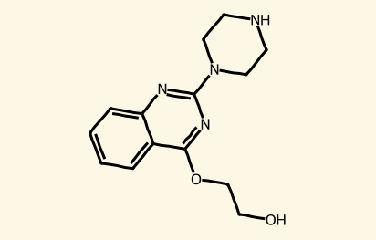 OCCOc1nc(N2CCNCC2)nc2ccccc12